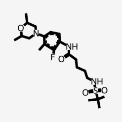 Cc1c(N2CC(C)OC(C)C2)ccc(NC(=O)CCCCNS(=O)(=O)C(C)(C)C)c1F